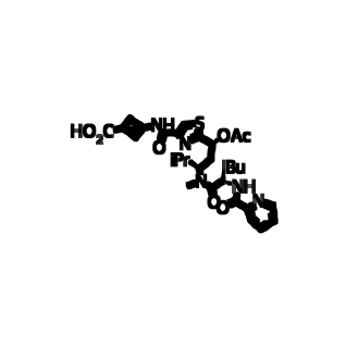 CC[C@H](C)[C@H](NC(=O)c1ccccn1)C(=O)N(C)[C@H](C[C@@H](OC(C)=O)c1nc(C(=O)NC23CC(C(=O)O)(C2)C3)cs1)C(C)C